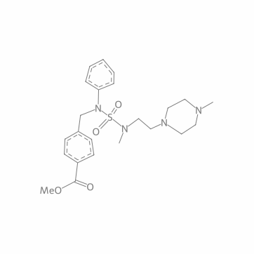 COC(=O)c1ccc(CN(c2ccccc2)S(=O)(=O)N(C)CCN2CCN(C)CC2)cc1